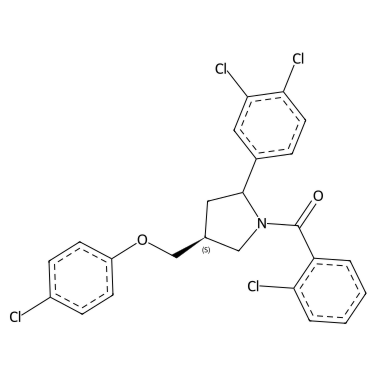 O=C(c1ccccc1Cl)N1C[C@@H](COc2ccc(Cl)cc2)CC1c1ccc(Cl)c(Cl)c1